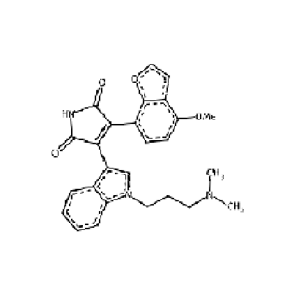 COc1ccc(C2=C(c3cn(CCCN(C)C)c4ccccc34)C(=O)NC2=O)c2occc12